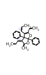 C=C/C=C1\C(=C)OC2(c3ccccc3)OC(C=C)=C(/C=C\C)C12c1ccccc1